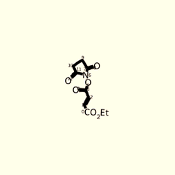 CCOC(=O)C=CC(=O)ON1C(=O)CCC1=O